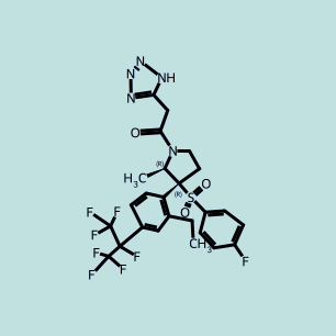 CCc1cc(C(F)(C(F)(F)F)C(F)(F)F)ccc1[C@]1(S(=O)(=O)c2ccc(F)cc2)CCN(C(=O)Cc2nnn[nH]2)[C@@H]1C